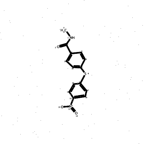 CNC(=O)c1ccc(Sc2ccc([N+](=O)[O-])cc2)cc1